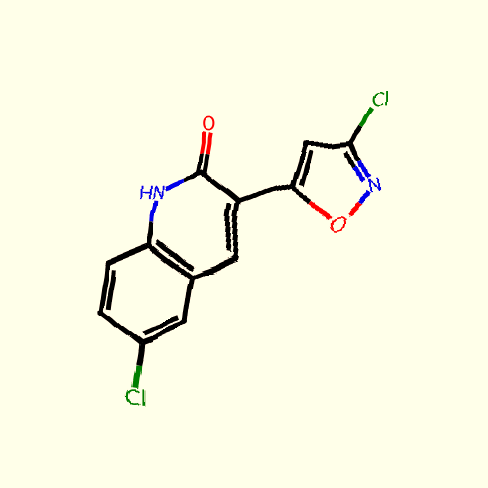 O=c1[nH]c2ccc(Cl)cc2cc1-c1cc(Cl)no1